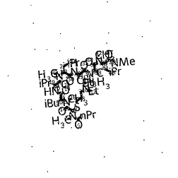 CCCC(=O)N(C)[C@H](SCCCN(CC)CC)C(=O)N(C)[C@H](C(=O)N[C@H](C(=O)N(C)[C@@H](CC(C)C)C(=O)N[C@H](C)C(=O)N[C@@H](C)C(=O)N(C)[C@@H](CC(C)C)C(=O)NC)C(C)C)C(C)CC